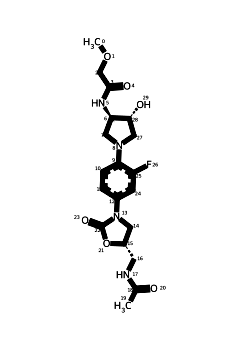 COCC(=O)N[C@@H]1CN(c2ccc(N3C[C@H](CNC(C)=O)OC3=O)cc2F)C[C@H]1O